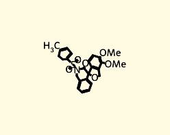 COc1ccc2c(c1OC)COC21C(=O)N(S(=O)(=O)C2=CC=C(C)CC2)Cc2ccccc21